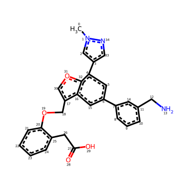 Cn1cc(-c2cc(-c3cccc(CN)c3)cc3c(COc4ccccc4CC(=O)O)coc23)cn1